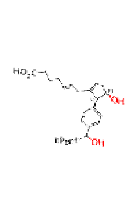 CCCCCC(O)c1ccc([C@H]2C(CC=CCCCC(=O)O)=CC[C@H]2O)cc1